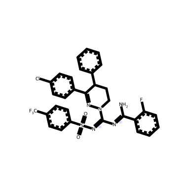 N/C(=N\C(=N\S(=O)(=O)c1ccc(C(F)(F)F)cc1)N1CCC(c2ccccc2)C(c2ccc(Cl)cc2)=N1)c1ccccc1F